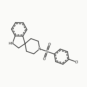 O=S(=O)(c1ccc(Cl)cc1)N1CCC2(CC1)CNc1ccccc12